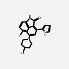 O=C1Nc2ccc(F)c3c(N4CCC(O)CC4)cc(-c4ccc[nH]4)c1c23